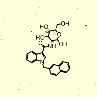 O=C(N[C@H]1C(O)O[C@H](CO)[C@@H](O)C1O)c1cn(Cc2ccc3ccccc3c2)c2ccccc12